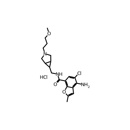 COCCCN1CC2C(CNC(=O)c3cc(Cl)c(N)c4cc(C)oc34)C2C1.Cl